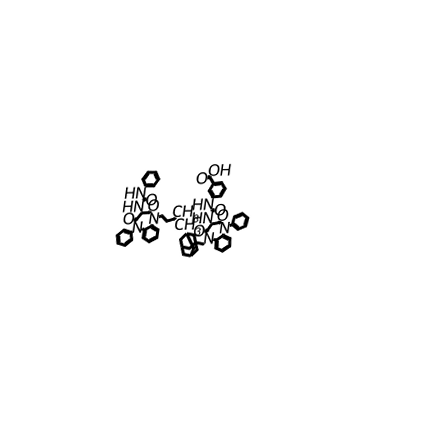 CC(C)CCN1C(=O)C(NC(=O)Nc2ccccc2)C(=O)N(c2ccccc2)c2ccccc21.O=C(Nc1cccc(C(=O)O)c1)NC1C(=O)N(CC23CC4CC(CC(C4)C2)C3)c2ccccc2N(c2ccccc2)C1=O